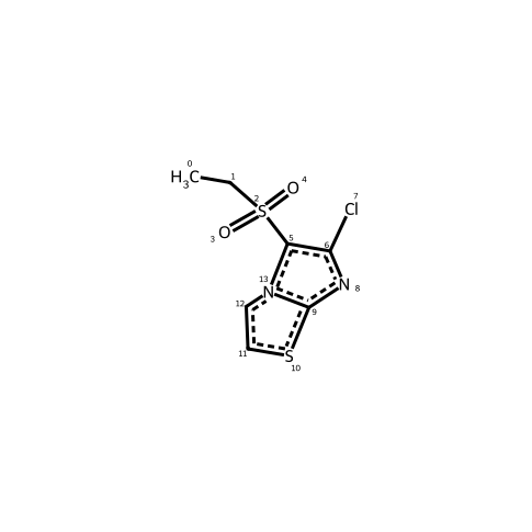 CCS(=O)(=O)c1c(Cl)nc2sccn12